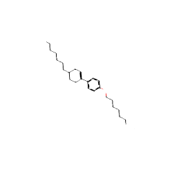 CCCCCCCOc1ccc(C2=CCC(CCCCCCC)CC2)cc1